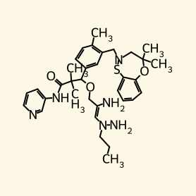 CCCN(N)/C=C(\N)COC(c1ccc(C)c(CN2CC(C)(C)Oc3ccccc3S2)c1)C(C)(C)C(=O)Nc1cccnc1